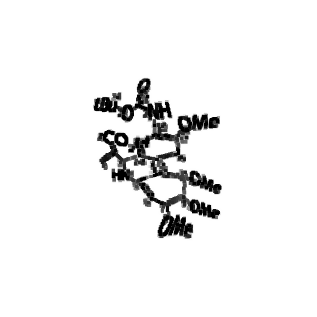 C=C(C(=O)O)C(Nc1cc(OC)c(OC)c(OC)c1)c1ccc(OC)c(NC(=O)OC(C)(C)C)c1